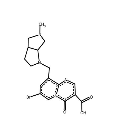 CN1CC2CCN(Cc3cc(Br)cn4c(=O)c(C(=O)O)cnc34)C2C1